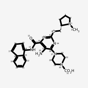 CN1CCC[C@H]1COc1nc(C(=O)Nc2cccc3ccccc23)c(N)c(N2CCN(C(=O)O)CC2)n1